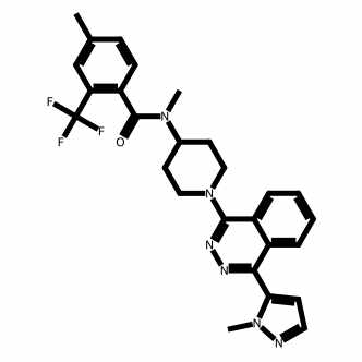 Cc1ccc(C(=O)N(C)C2CCN(c3nnc(-c4ccnn4C)c4ccccc34)CC2)c(C(F)(F)F)c1